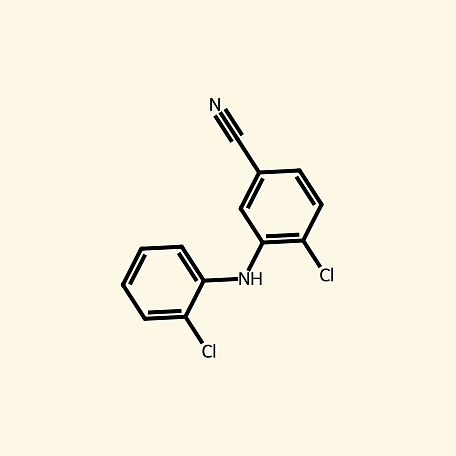 N#Cc1ccc(Cl)c(Nc2ccccc2Cl)c1